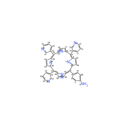 Nc1ccc(-c2c3nc(c(-c4cccnc4)c4ccc([nH]4)c(-c4cccnc4)c4nc(c(-c5cccnc5)c5ccc2[nH]5)C=C4)C=C3)cc1